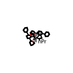 CCCC1=Cc2c(-c3ccccc3)ccc(-c3ccccc3)c2[CH]1[Zr]([CH]1C(CCC)=Cc2c(-c3ccccc3)ccc(-c3ccccc3)c21)[SiH](C)C